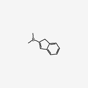 CB(C)C1=Cc2ccccc2C1